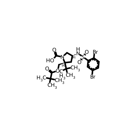 CC(C)(C)C(=O)OC[C@]1(C(C)(C)C)C[C@@H](NS(=O)(=O)c2cc(Br)ccc2Br)CN1C(=O)O